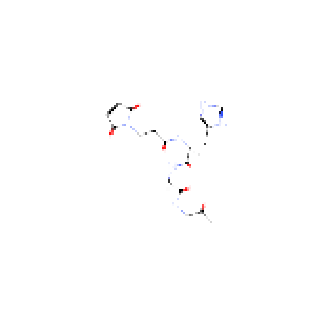 CC(=O)[C@H](C)NC(=O)[C@H](C)NC(=O)[C@H](Cc1c[nH]cn1)NC(=O)CCN1C(=O)C=CC1=O